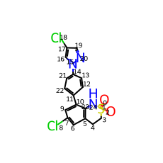 O=S1(=O)CCc2cc(Cl)cc(-c3ccc(-n4cc(Cl)cn4)cc3)c2N1